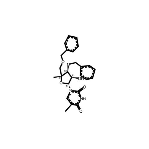 Cc1cn([C@@H]2O[C@](C)(COCc3ccccc3)[C@@H](OCc3ccccc3)[C@H]2O)c(=O)[nH]c1=O